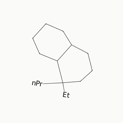 CCCC1(CC)CCCC2CCCCC21